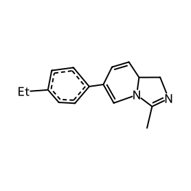 CCc1ccc(C2=CN3C(C)=NCC3C=C2)cc1